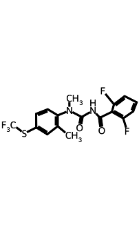 Cc1cc(SC(F)(F)F)ccc1N(C)C(=O)NC(=O)c1c(F)cccc1F